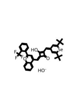 CC(C)(C)C1=CC(=CC2=C(O)C(=Cc3cc(-c4ccccc4C(F)(F)F)[o+]c4ccccc34)C2=O)C=C(C(C)(C)C)[Se]1.[OH-]